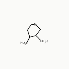 O=C(O)C1CC[N]CC1C(=O)O